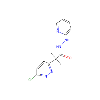 CC(C)(C(=O)NNc1ccccn1)c1ccc(Cl)nn1